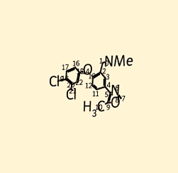 CNCc1cc(-c2ncoc2C)ccc1Oc1ccc(Cl)c(Cl)c1